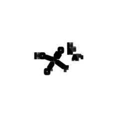 N.O=P([O-])(O)F.[Al+]